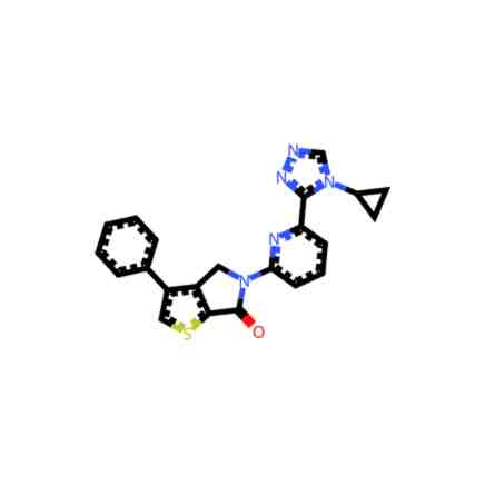 O=C1c2scc(-c3ccccc3)c2CN1c1cccc(-c2nncn2C2CC2)n1